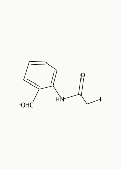 O=[C]c1ccccc1NC(=O)CI